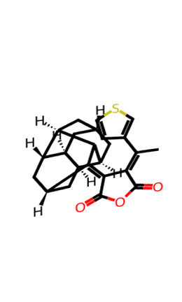 C/C(=C1\C(=O)OC(=O)\C1=C1\C2[C@H]3C[C@@H]4C[C@H]5[C@@H]3C[C@@H]1C[C@@H]5[C@H]2C4)c1ccsc1